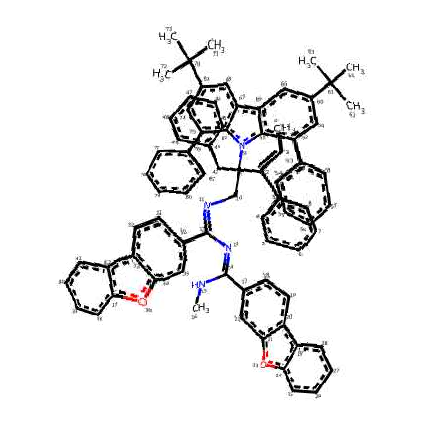 C/C=C(/c1ccccc1)C(C/N=C(\N=C(/NC)c1ccc2c(c1)oc1ccccc12)c1ccc2c(c1)oc1ccccc12)(Cc1ccccc1)n1c2c(-c3ccccc3)cc(C(C)(C)C)cc2c2cc(C(C)(C)C)cc(-c3ccccc3)c21